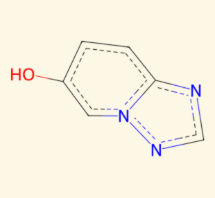 Oc1ccc2ncnn2c1